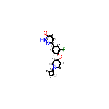 O=c1ccc(-c2ccc(OC3CCN(C4CCC4)CC3)c(F)c2)n[nH]1